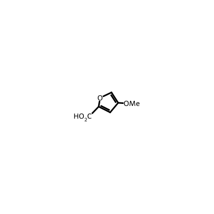 COc1coc(C(=O)O)c1